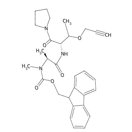 C#CCOC(C)[C@H](NC(=O)[C@H](C)N(C)C(=O)OCC1c2ccccc2-c2ccccc21)C(=O)N1CCCC1